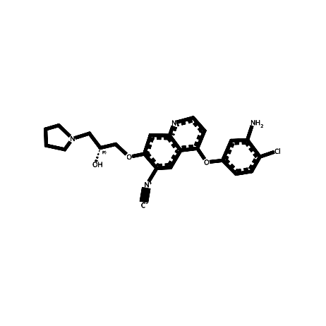 [C-]#[N+]c1cc2c(Oc3ccc(Cl)c(N)c3)ccnc2cc1OC[C@H](O)CN1CCCC1